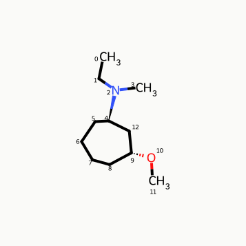 CCN(C)[C@@H]1CCCC[C@@H](OC)C1